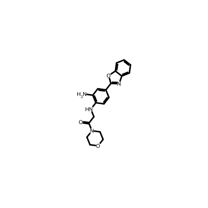 Nc1cc(-c2nc3ccccc3o2)ccc1NCC(=O)N1CCOCC1